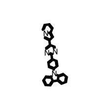 c1ccc2c(c1)c1ccccc1n2-c1ccc(-c2ncc(-c3cc4ccccn4c3)cn2)cc1